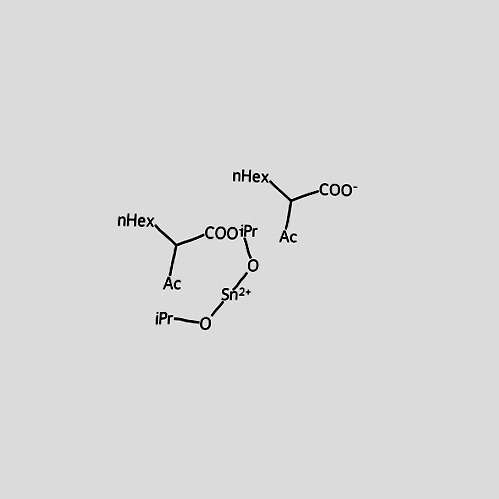 CC(C)[O][Sn+2][O]C(C)C.CCCCCCC(C(C)=O)C(=O)[O-].CCCCCCC(C(C)=O)C(=O)[O-]